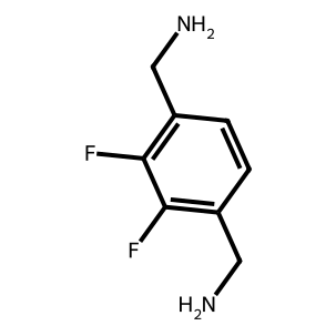 NCc1ccc(CN)c(F)c1F